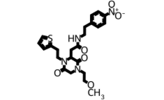 COCCN1CC(=O)N(CCc2cccs2)C(CC(=O)NCCc2ccc([N+](=O)[O-])cc2)C1=O